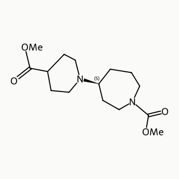 COC(=O)C1CCN([C@H]2CCCN(C(=O)OC)CC2)CC1